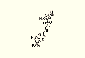 CC(OS(=O)(=O)O)S(=O)(=O)CCNCCS(=O)(=O)C(C)OS(=O)(=O)O